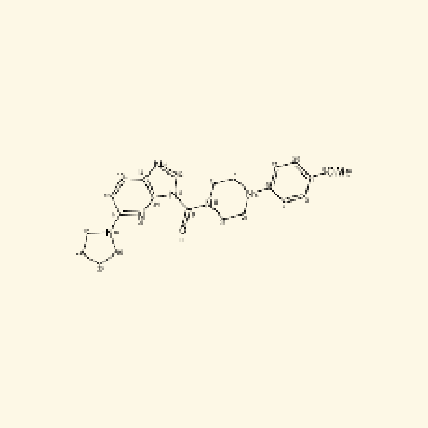 COc1ccc(N2CCN(C(=O)n3cnc4ccc(N5CCCC5)nc43)CC2)cc1